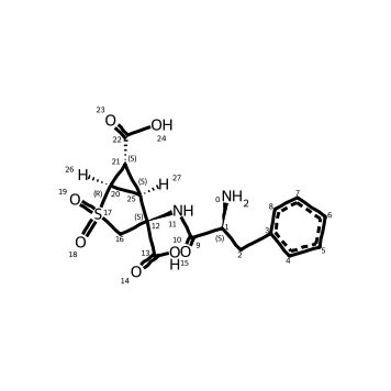 N[C@@H](Cc1ccccc1)C(=O)N[C@@]1(C(=O)O)CS(=O)(=O)[C@H]2[C@H](C(=O)O)[C@H]21